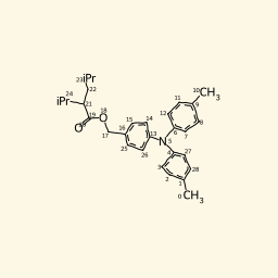 Cc1ccc(N(c2ccc(C)cc2)c2ccc(COC(=O)C(CC(C)C)C(C)C)cc2)cc1